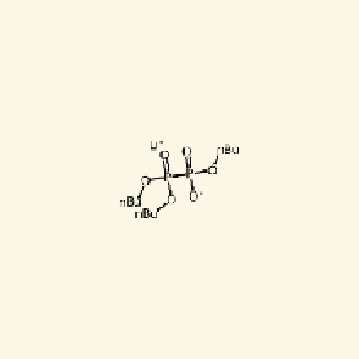 CCCCOP(=O)([O-])P(=O)(OCCCC)OCCCC.[Li+]